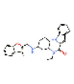 CCN(C(=O)c1cc2ccccc2[nH]1)C1CCCC(NCc2oc3ccccc3c2C)C1